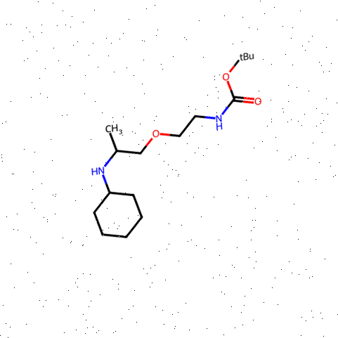 CC(COCCNC(=O)OC(C)(C)C)NC1CCCCC1